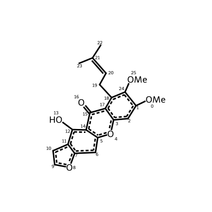 COc1cc2oc3cc4occc4c(O)c3c(=O)c2c(CC=C(C)C)c1OC